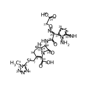 Cn1nnnc1SCC1=C(C(=O)O)N2C(=O)[C@@H](NC(=O)C(=NOCC(=O)O)c3csc(=N)n3N)[C@@H]2SC1